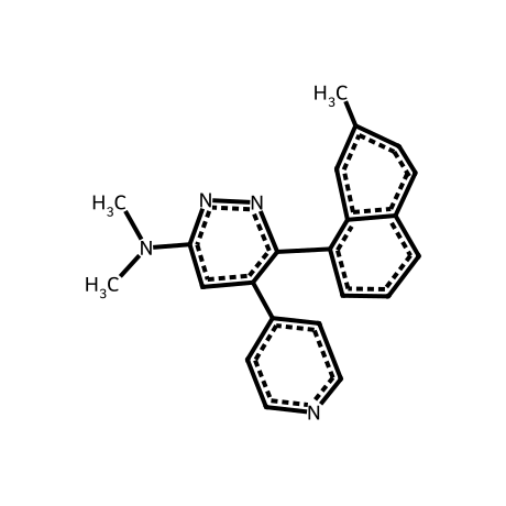 Cc1ccc2cccc(-c3nnc(N(C)C)cc3-c3ccncc3)c2c1